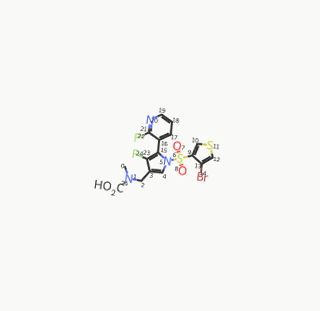 CN(Cc1cn(S(=O)(=O)c2cscc2Br)c(-c2cccnc2F)c1F)C(=O)O